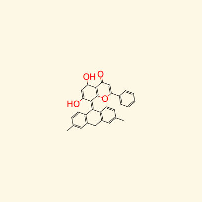 Cc1ccc2c(c1)Cc1cc(C)ccc1C2=C1C(O)=CC(O)c2c1oc(-c1ccccc1)cc2=O